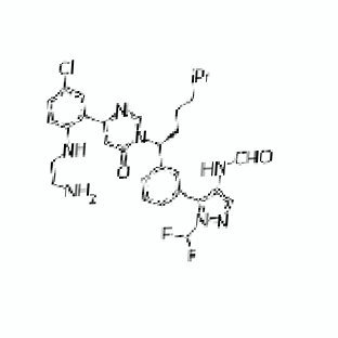 CC(C)CCC[C@@H](c1cccc(-c2c(NC=O)cnn2C(F)F)c1)n1cnc(-c2cc(Cl)ccc2N/C=C\N)cc1=O